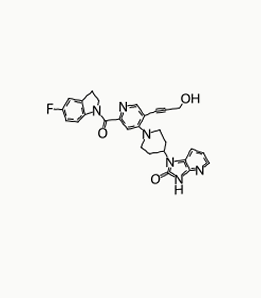 O=C(c1cc(N2CCC(n3c(=O)[nH]c4ncccc43)CC2)c(C#CCO)cn1)N1CCc2cc(F)ccc21